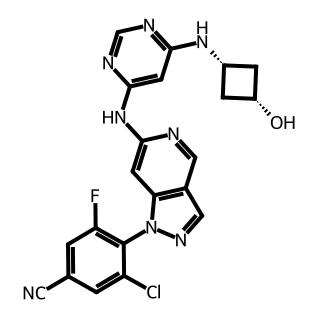 N#Cc1cc(F)c(-n2ncc3cnc(Nc4cc(N[C@H]5C[C@@H](O)C5)ncn4)cc32)c(Cl)c1